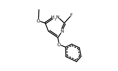 C=C(/C=C(\N=C(/N)F)Oc1ccccc1)OC